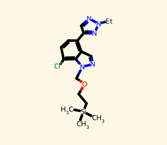 CCn1ncc(-c2ccc(Cl)c3c2cnn3COCC[Si](C)(C)C)n1